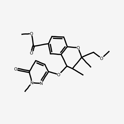 COCC1(C)Oc2ccc(C(=O)OC)cc2C(Oc2ccc(=O)n(C)n2)C1C